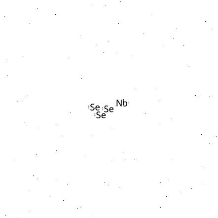 [Nb].[Se].[Se].[Se]